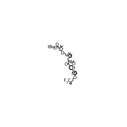 CC(C)(C)OC(=O)N1CC(OCCn2nccc2SNC(=O)c2ccc(-n3ccc(OCCC4(C(F)(F)F)CC4)n3)nc2Cl)CC1(C)C